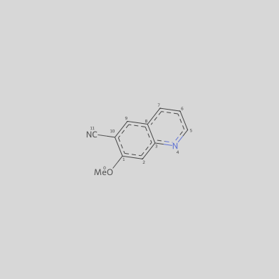 COc1cc2ncccc2cc1C#N